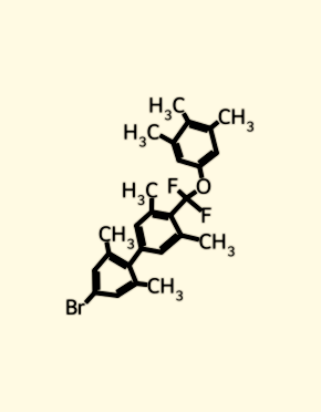 Cc1cc(OC(F)(F)c2c(C)cc(-c3c(C)cc(Br)cc3C)cc2C)cc(C)c1C